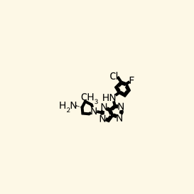 C[C@H]1CN(c2ncc3ncnc(Nc4ccc(F)c(Cl)c4)c3n2)CC[C@@H]1N